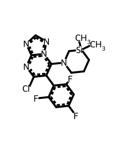 C[Si]1(C)CCCN(c2c(-c3c(F)cc(F)cc3F)c(Cl)nc3ncnn23)C1